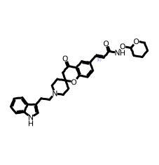 O=C(/C=C/c1ccc2c(c1)C(=O)CC1(CCN(CCc3c[nH]c4ccccc34)CC1)O2)NOC1CCCCO1